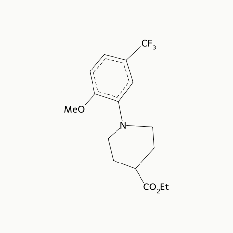 CCOC(=O)C1CCN(c2cc(C(F)(F)F)ccc2OC)CC1